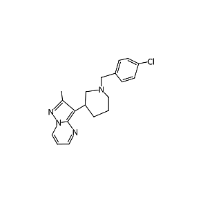 Cc1nn2cccnc2c1C1CCCN(Cc2ccc(Cl)cc2)C1